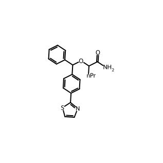 CCCC(OC(c1ccccc1)c1ccc(-c2nccs2)cc1)C(N)=O